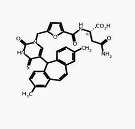 Cc1ccc2c(c1)C=Cc1cc(C)ccc1C2c1cn(Cc2ccc(C(=O)N[C@@H](CC(N)=O)C(=O)O)o2)c(=O)[nH]c1=S